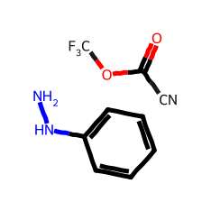 N#CC(=O)OC(F)(F)F.NNc1ccccc1